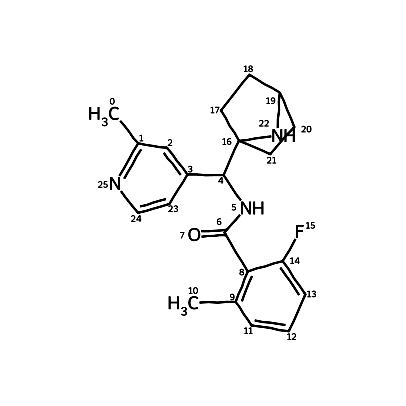 Cc1cc(C(NC(=O)c2c(C)cccc2F)C23CCC(CC2)N3)ccn1